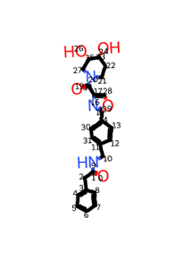 O=C(Cc1ccccc1)NCc1ccc(-c2nc(C(=O)N3CC[C@H](O)[C@H](O)C3)co2)cc1